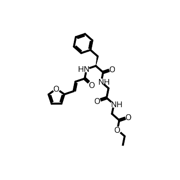 CCOC(=O)CNC(=O)CNC(=O)[C@H](Cc1ccccc1)NC(=O)C=Cc1ccco1